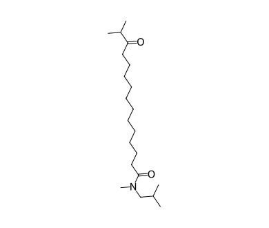 CC(C)CN(C)C(=O)CCCCCCCCCCCC(=O)C(C)C